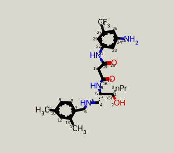 CCC[C@H](O)[C@H](CNCc1ccc(C)cc1C)NC(=O)CC(=O)Nc1cc(N)cc(C(F)(F)F)c1